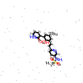 CC(C)(C)c1cc(/C=C/c2ccc(NS(C)(=O)=O)cn2)c(O)c(-c2ccc[nH]c2=O)c1